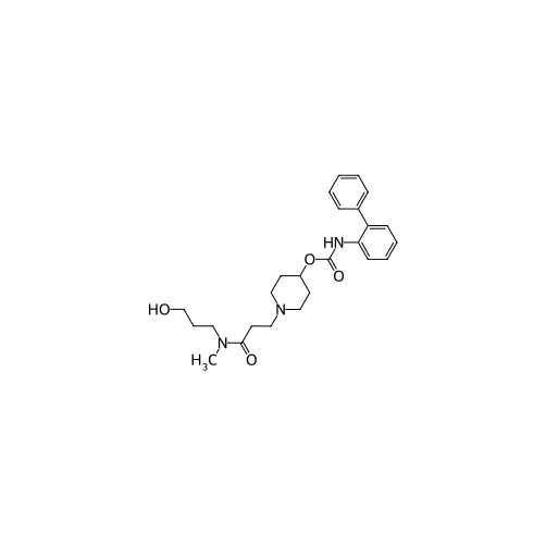 CN(CCCO)C(=O)CCN1CCC(OC(=O)Nc2ccccc2-c2ccccc2)CC1